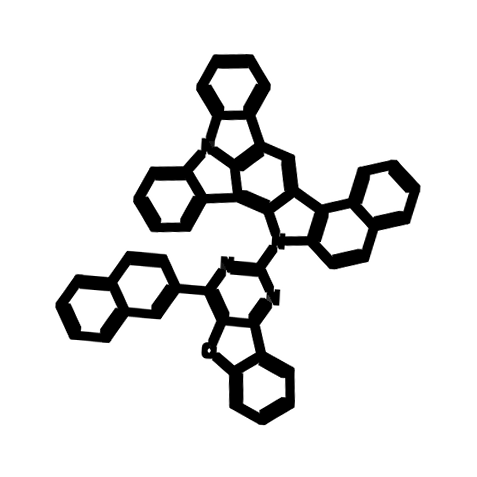 c1ccc2cc(-c3nc(-n4c5ccc6ccccc6c5c5cc6c7ccccc7n7c8ccccc8c(c54)c67)nc4c3oc3ccccc34)ccc2c1